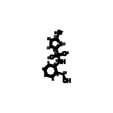 O=S(=O)(Nc1ccccc1CO)c1ccc(Br)s1